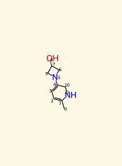 CC1=CC=C(N2CC(O)C2)CN1